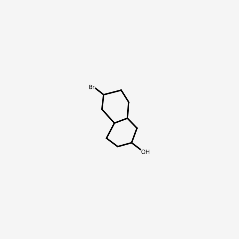 OC1CCC2CC(Br)CCC2C1